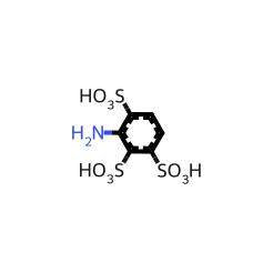 Nc1c(S(=O)(=O)O)ccc(S(=O)(=O)O)c1S(=O)(=O)O